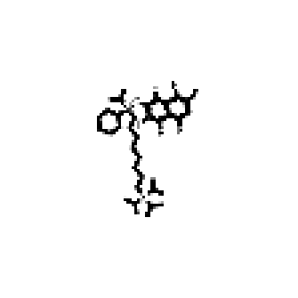 CC(C)[Si](CCCCCCCC[Si](C(C)C)(C(C)C)C(C)C)(Oc1c(F)c(F)c2c(F)[c]c(F)c(F)c2c1F)C1CCCCC1